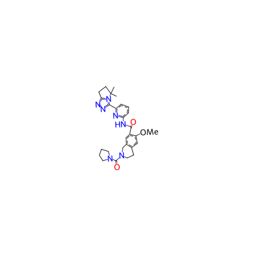 COc1cc2c(cc1C(=O)Nc1cccc(-c3nnc4n3C(C)(C)CC4)n1)CN(C(=O)N1CCCC1)CC2